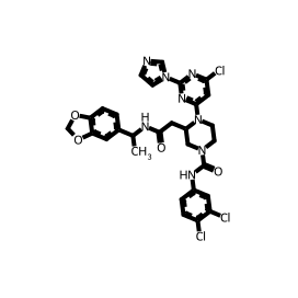 CC(NC(=O)CC1CN(C(=O)Nc2ccc(Cl)c(Cl)c2)CCN1c1cc(Cl)nc(-n2ccnc2)n1)c1ccc2c(c1)OCO2